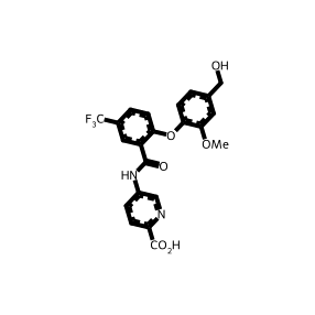 COc1cc(CO)ccc1Oc1ccc(C(F)(F)F)cc1C(=O)Nc1ccc(C(=O)O)nc1